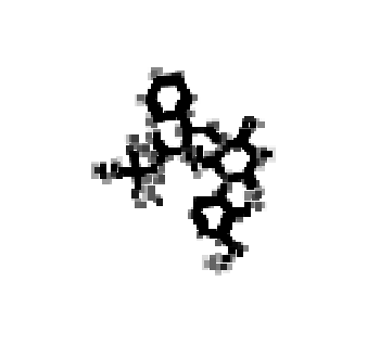 COc1cccc(-n2c(=O)[nH]c(=O)n(C[C@@H](NC(=O)OC(C)(C)C)c3ccccc3)c2=O)c1F